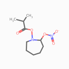 CC(C)C(=O)ON1CCCCCC1O[N+](=O)[O-]